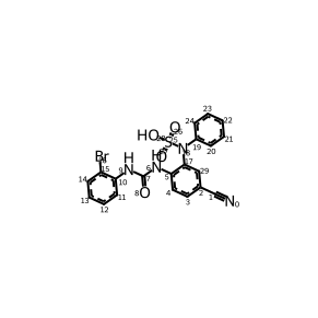 N#Cc1ccc(NC(=O)Nc2ccccc2Br)c(N(c2ccccc2)S(=O)(=O)O)c1